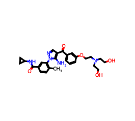 Cc1ccc(C(=O)NC2CC2)cc1-n1ncc(C(=O)c2cccc(OCCN(CCO)CCO)c2)c1N